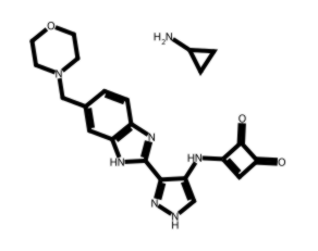 NC1CC1.O=c1cc(Nc2c[nH]nc2-c2nc3ccc(CN4CCOCC4)cc3[nH]2)c1=O